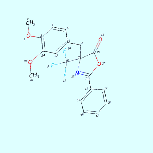 COc1ccc(CC2(C(F)(F)F)N=C(c3ccccc3)OC2=O)cc1OC